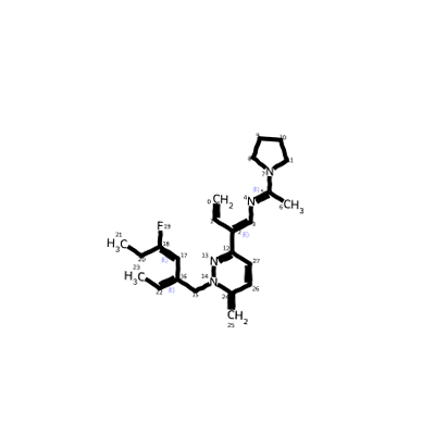 C=C/C(=C\N=C(/C)N1CCCC1)C1=NN(CC(/C=C(/F)CC)=C/C)C(=C)C=C1